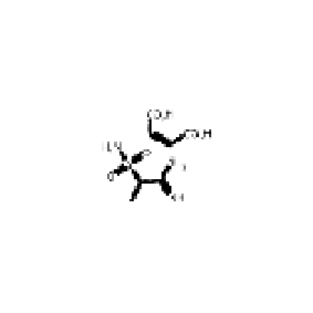 CC(C(=N)N)S(N)(=O)=O.O=C(O)/C=C\C(=O)O